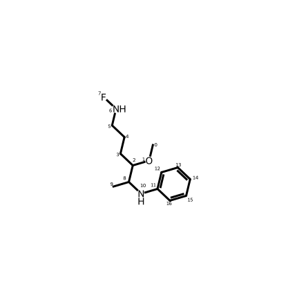 COC(CCCNF)C(C)Nc1ccccc1